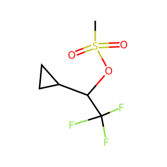 CS(=O)(=O)OC(C1CC1)C(F)(F)F